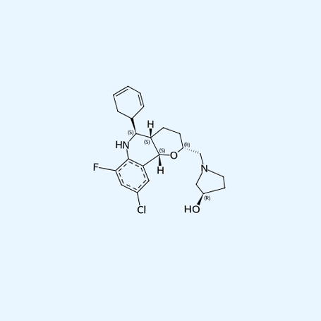 O[C@@H]1CCN(C[C@H]2CC[C@@H]3[C@H](O2)c2cc(Cl)cc(F)c2N[C@H]3C2C=CC=CC2)C1